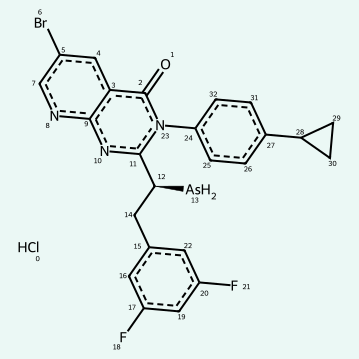 Cl.O=c1c2cc(Br)cnc2nc([C@@H]([AsH2])Cc2cc(F)cc(F)c2)n1-c1ccc(C2CC2)cc1